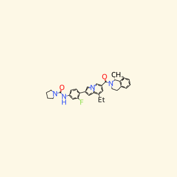 CCc1cc(C(=O)N2CCc3ccccc3[C@H]2C)cn2cc(-c3ccc(NC(=O)N4CCCC4)cc3F)cc12